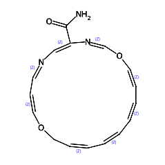 NC(=O)C1=C/N=C\C=C/OC\C=C/C=C\C=C/C=C\O/C=N\1